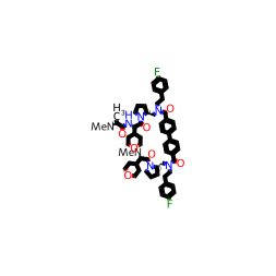 CN[C@@H](C)C(=O)N[C@H](C(=O)N1CCC[C@H]1CN(CCc1ccc(F)cc1)C(=O)c1ccc(-c2ccc(C(=O)N(CCc3ccc(F)cc3)C[C@@H]3CCCN3C(=O)[C@@H](NC)C3CCOCC3)cc2)cc1)C1CCOCC1